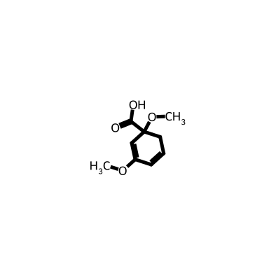 COC1=CC(OC)(C(=O)O)CC=C1